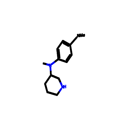 CNc1ccc(N(C)C2CCCNC2)cc1